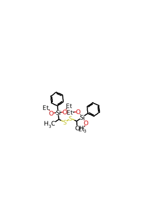 CCO[Si](OCC)(c1ccccc1)C(C)SSC(C)[Si](OCC)(OCC)c1ccccc1